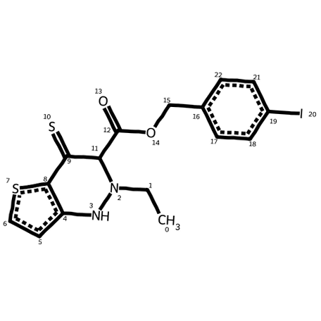 CCN1Nc2ccsc2C(=S)C1C(=O)OCc1ccc(I)cc1